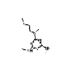 CCCCN(C)c1nc(NC)nc(NC)n1